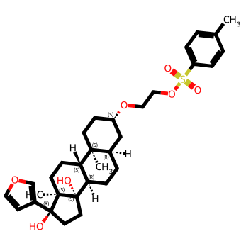 Cc1ccc(S(=O)(=O)OCCO[C@H]2CC[C@@]3(C)[C@H](CC[C@@H]4[C@@H]3CC[C@]3(C)[C@@](O)(c5ccoc5)CC[C@]43O)C2)cc1